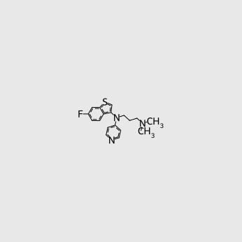 CN(C)CCCN(c1ccncc1)c1csc2cc(F)ccc12